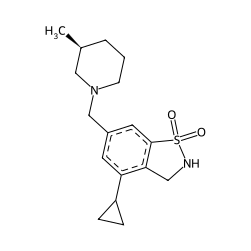 C[C@H]1CCCN(Cc2cc(C3CC3)c3c(c2)S(=O)(=O)NC3)C1